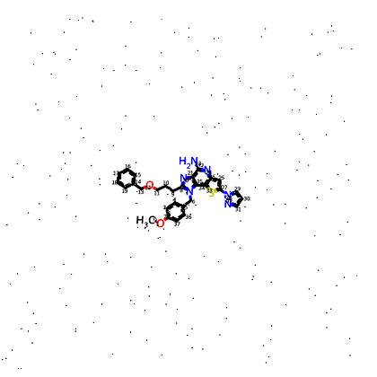 COc1ccc(Cn2c(CCCOCc3ccccc3)nc3c(N)nc4cc(-n5cccn5)sc4c32)cc1